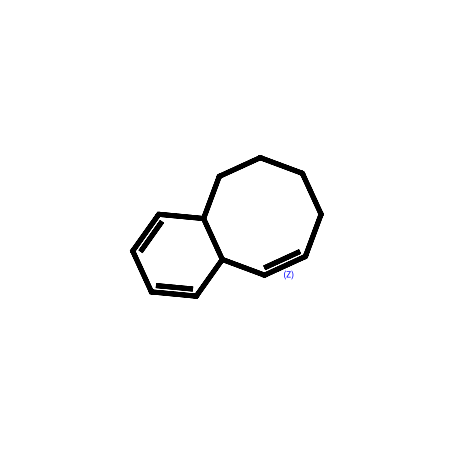 C1=CC2/C=C\CCCCC2C=C1